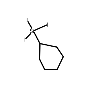 I[Si](I)(I)C1CCCCC1